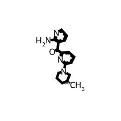 C[C@H]1CCCN(c2cccc(C(=O)c3cccnc3N)n2)C1